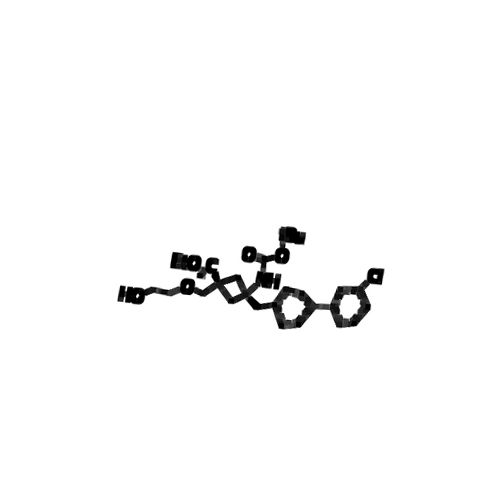 CCOC(=O)[C@]1(COCCO)C[C@@](Cc2ccc(-c3cccc(Cl)c3)cc2)(NC(=O)OC(C)(C)C)C1